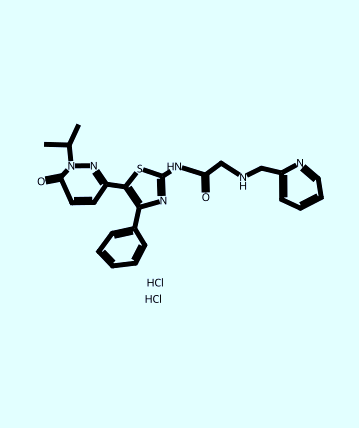 CC(C)n1nc(-c2sc(NC(=O)CNCc3ccccn3)nc2-c2ccccc2)ccc1=O.Cl.Cl